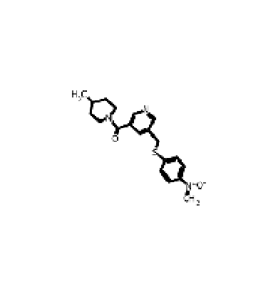 C=[N+]([O-])c1ccc(SCc2cncc(C(=O)N3CCC(C)CC3)c2)cc1